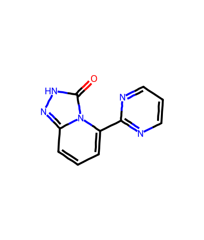 O=c1[nH]nc2cccc(-c3ncccn3)n12